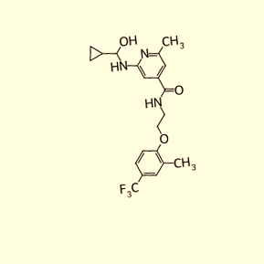 Cc1cc(C(=O)NCCOc2ccc(C(F)(F)F)cc2C)cc(NC(O)C2CC2)n1